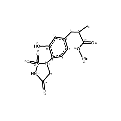 CC(Cc1ccc(N2CC(=O)NS2(=O)=O)c(O)c1)C(=O)OC(C)(C)C